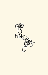 C[C@H]1CCC(c2ccccc2)S(=O)(=O)N1Cc1ccc(NC2CCN(S(C)(=O)=O)CC2)cc1